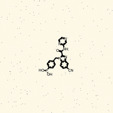 N#Cc1ccc2c(c1)nc(C(=O)Nc1cnccn1)n2Cc1ccc(P(O)O)cc1